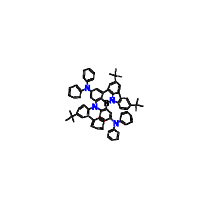 CC(C)(C)c1ccc(N2c3ccc(N(c4ccccc4)c4ccccc4)cc3B3c4c(cc(N(c5ccccc5)c5ccccc5)cc42)-c2cc(C(C)(C)C)cc4c5cc(C(C)(C)C)ccc5n3c24)c(-c2ccccc2)c1